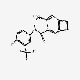 Nc1cc2c(cc1C(=O)Nc1ccc(F)c(C(F)(F)F)c1)CC2